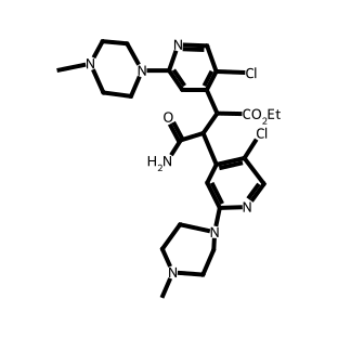 CCOC(=O)C(c1cc(N2CCN(C)CC2)ncc1Cl)C(C(N)=O)c1cc(N2CCN(C)CC2)ncc1Cl